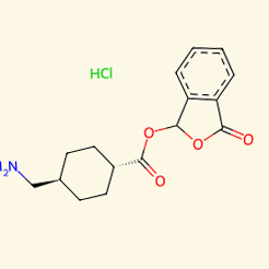 Cl.NC[C@H]1CC[C@H](C(=O)OC2OC(=O)c3ccccc32)CC1